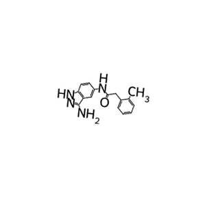 Cc1ccccc1CC(=O)Nc1ccc2[nH]nc(N)c2c1